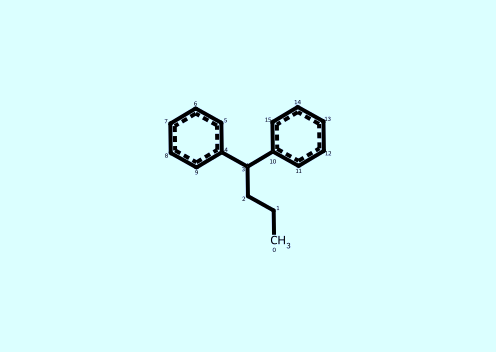 CCC[C](c1ccccc1)c1ccccc1